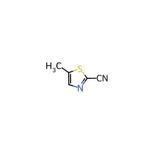 Cc1cnc(C#N)s1